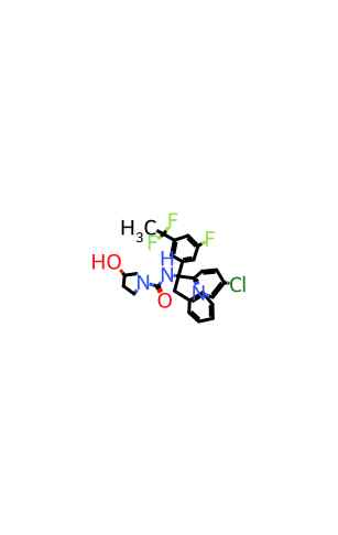 CC(F)(F)c1cc(F)cc(C(Cc2ccccc2)(NC(=O)N2CCC(O)C2)c2ccc(Cl)cn2)c1